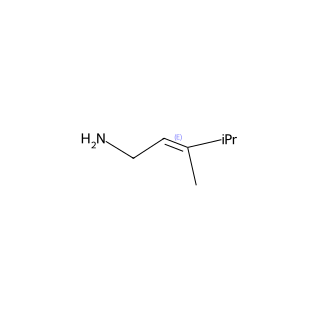 C/C(=C\CN)C(C)C